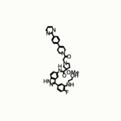 CO[C@@]1(C(=O)Nc2ccc3[nH]nc(-c4ccc(F)c(NCCO)c4)c3c2)CCN(CC(=O)N2CC=C(c3ccc(-c4ncccn4)cc3)CC2)C1